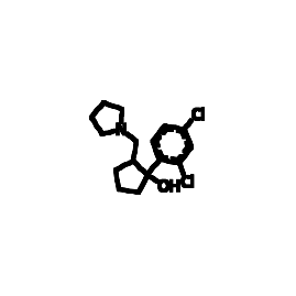 OC1(c2ccc(Cl)cc2Cl)CCCC1CN1CCCC1